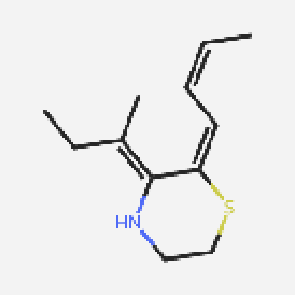 C\C=C/C=C1/SCCN/C1=C(/C)CC